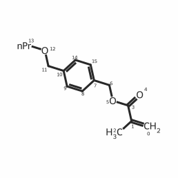 C=C(C)C(=O)OCc1ccc(COCCC)cc1